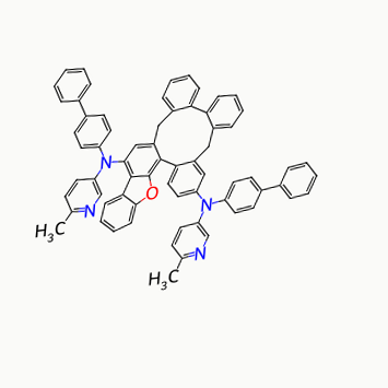 Cc1ccc(N(c2ccc(-c3ccccc3)cc2)c2ccc3c(c2)Cc2ccccc2-c2ccccc2Cc2cc(N(c4ccc(-c5ccccc5)cc4)c4ccc(C)nc4)c4c(oc5ccccc54)c2-3)cn1